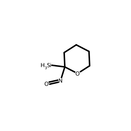 O=NC1([SiH3])CCCCO1